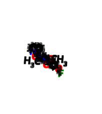 Cc1cc(OCF)ccc1S(=O)(=O)N1CCN(C(=O)c2cccc3cccnc23)[C@@H](C)C1